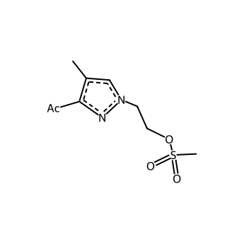 CC(=O)c1nn(CCOS(C)(=O)=O)cc1C